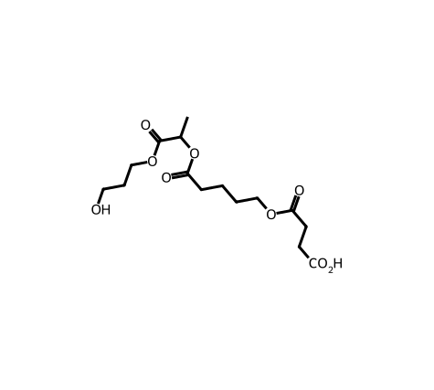 CC(OC(=O)CCCCOC(=O)CCC(=O)O)C(=O)OCCCO